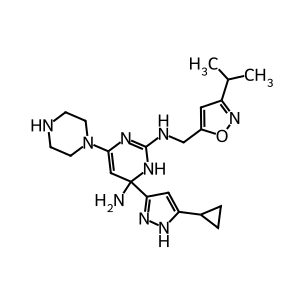 CC(C)c1cc(CNC2=NC(N3CCNCC3)=CC(N)(c3cc(C4CC4)[nH]n3)N2)on1